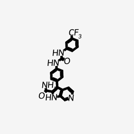 NC(=O)c1[nH]c2cnccc2c1-c1ccc(NC(=O)Nc2cccc(C(F)(F)F)c2)cc1